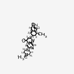 Cc1cc(-c2cc(=O)n3cc(N4CCN(C)CC4)ncc3n2)cc2cn(C)nc12